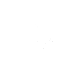 O=C(O)c1ccccc1Oc1cccc2ccccc12